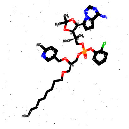 CCCCCCCCCCCCCCCCCCOC[C@H](COP(=O)(OC[C@@](C)(OC)[C@H]1OC(C)(C)O[C@H]1c1ccc2c(N)ncnn12)Oc1ccccc1Cl)OCc1ccc(C#N)nc1